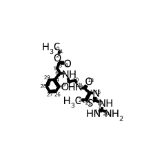 CCOC(=O)CC(NC(=O)CNC(=O)c1nc(NC(=N)N)sc1C)c1ccccc1